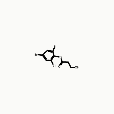 O=C(CCO)Oc1c(Cl)cc(Br)cc1Br